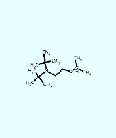 C[SiH](C)OCCN(C(C)(C)C)C(C)(C)C